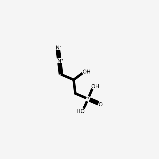 [N-]=[N+]=CC(O)CP(=O)(O)O